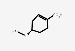 CCCO[C@H]1CC=C(C(=O)O)CC1